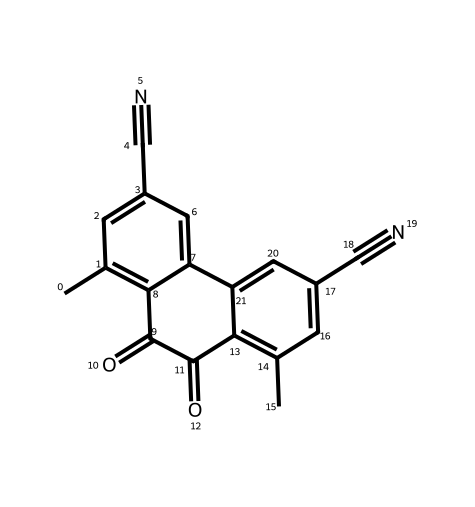 Cc1cc(C#N)cc2c1C(=O)C(=O)c1c(C)cc(C#N)cc1-2